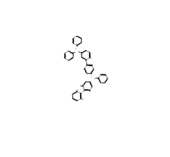 Cc1cccc2sc3cc(N(c4ccccc4)c4ccc5c(c4)sc4ccc(N(c6ccccc6)c6ccccc6)cc45)cc(Cl)c3c12